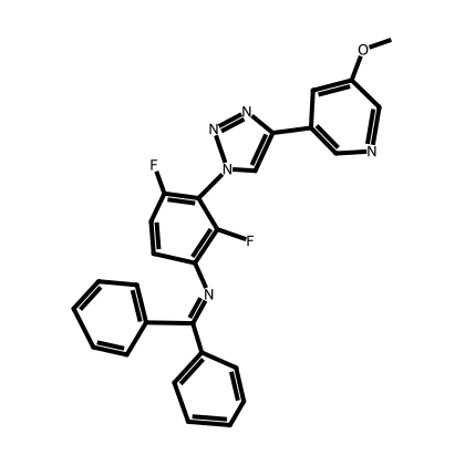 COc1cncc(-c2cn(-c3c(F)ccc(N=C(c4ccccc4)c4ccccc4)c3F)nn2)c1